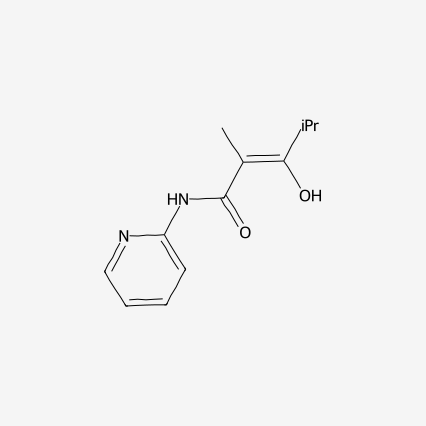 C/C(C(=O)Nc1ccccn1)=C(/O)C(C)C